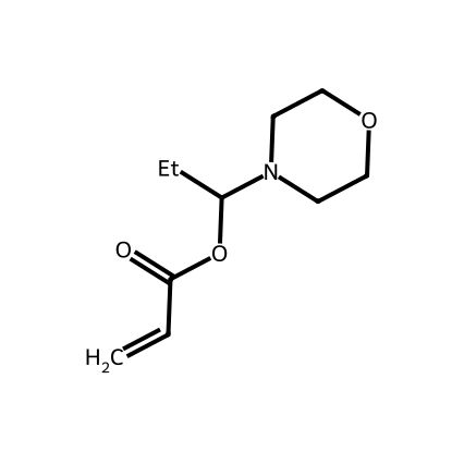 C=CC(=O)OC(CC)N1CCOCC1